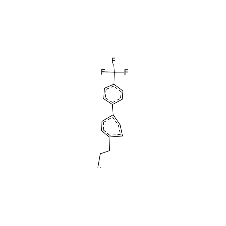 [CH2]CCc1ccc(-c2ccc(C(F)(F)F)cc2)cc1